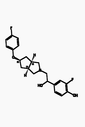 Oc1ccc(C(O)CN2C[C@H]3C[C@@H](Oc4ccc(F)cc4)C[C@H]3C2)cc1F